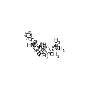 COc1c(OCC=C(C)CCC=C(C)C)c(=O)n(C)c2cc(NC(=O)C=Cc3ccccc3)ccc12